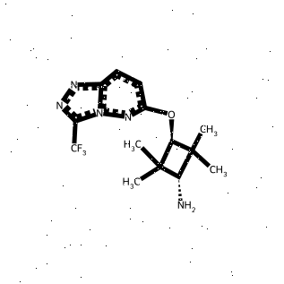 CC1(C)[C@H](N)C(C)(C)[C@H]1Oc1ccc2nnc(C(F)(F)F)n2n1